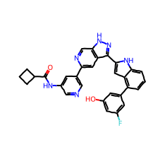 O=C(Nc1cncc(-c2cc3c(-c4cc5c(-c6cc(O)cc(F)c6)cccc5[nH]4)n[nH]c3cn2)c1)C1CCC1